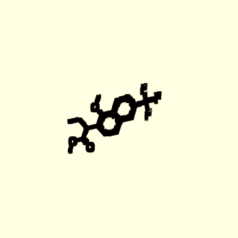 CCC(C(=O)OC)c1ccc2cc(C(F)(F)F)ccc2c1OC